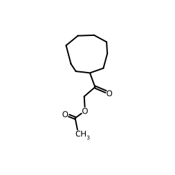 CC(=O)OCC(=O)C1CCCCCCCC1